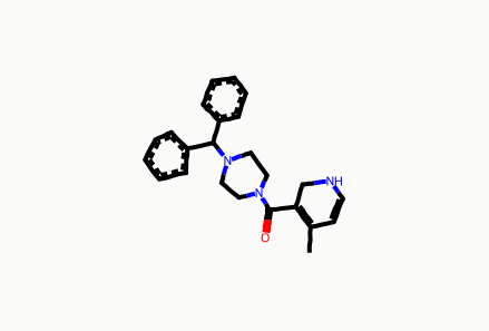 CC1=C(C(=O)N2CCN(C(c3ccccc3)c3ccccc3)CC2)CNC=C1